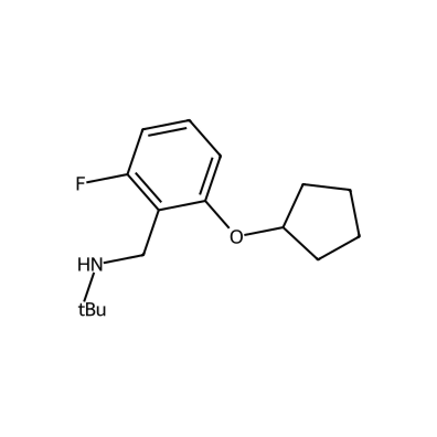 CC(C)(C)NCc1c(F)cccc1OC1CCCC1